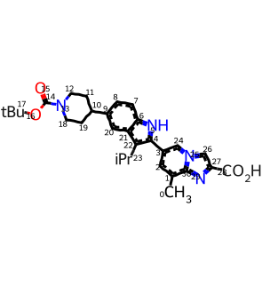 Cc1cc(-c2[nH]c3ccc(C4CCN(C(=O)OC(C)(C)C)CC4)cc3c2C(C)C)cn2cc(C(=O)O)nc12